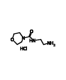 Cl.NCCNC(=O)N1CCOCC1